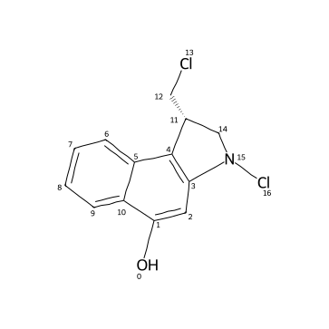 Oc1cc2c(c3ccccc13)[C@H](CCl)CN2Cl